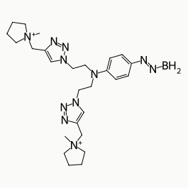 BN=Nc1ccc(N(CCn2cc(C[N+]3(C)CCCC3)nn2)CCn2cc(C[N+]3(C)CCCC3)nn2)cc1